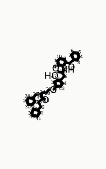 O=C(c1ccccc1)c1ccccc1NC(Cc1ccc(OCCCN(Cc2ccccc2)C(=O)CCc2ccccc2)cc1)C(=O)O